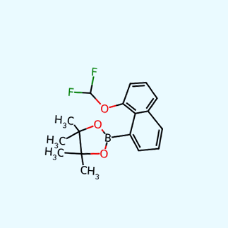 CC1(C)OB(c2cccc3cccc(OC(F)F)c23)OC1(C)C